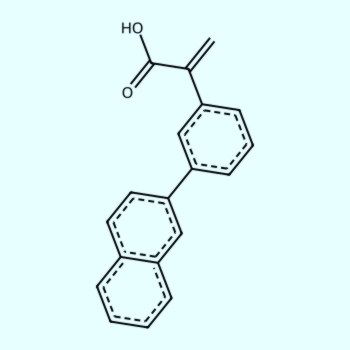 C=C(C(=O)O)c1cccc(-c2ccc3ccccc3c2)c1